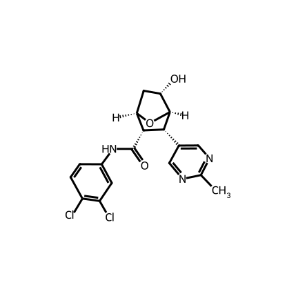 Cc1ncc([C@H]2[C@H]3O[C@H](C[C@@H]3O)[C@H]2C(=O)Nc2ccc(Cl)c(Cl)c2)cn1